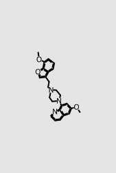 COc1cc(N2CCN(CCc3coc4c(OC)cccc34)CC2)c2ncccc2c1